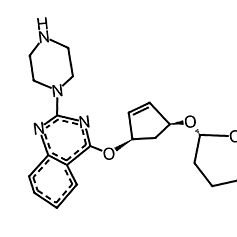 C1=C[C@H](Oc2nc(N3CCNCC3)nc3ccccc23)C[C@@H]1O[C@H]1CCCCO1